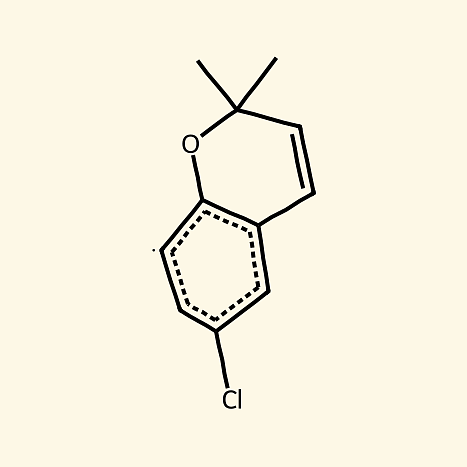 CC1(C)C=Cc2cc(Cl)c[c]c2O1